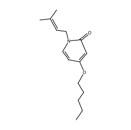 CCCCCOc1ccn(CC=C(C)C)c(=O)c1